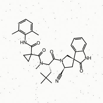 Cc1cccc(C)c1NC(=O)C1(C(=O)N(C)[C@@H](CC(C)(C)C)C(=O)N2C[C@]3(C[C@H]2C#N)C(=O)Nc2ccccc23)CC1